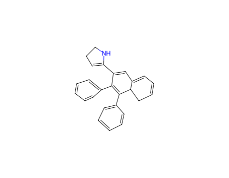 C1=CCC2C(=C1)C=C(C1=CCCN1)C(c1ccccc1)=C2c1ccccc1